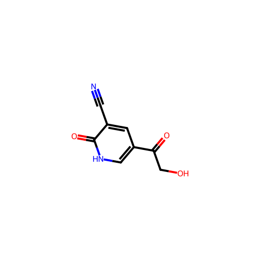 N#Cc1cc(C(=O)CO)c[nH]c1=O